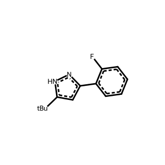 CC(C)(C)c1cc(-c2ccccc2F)n[nH]1